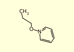 CCCO[n+]1ccccc1